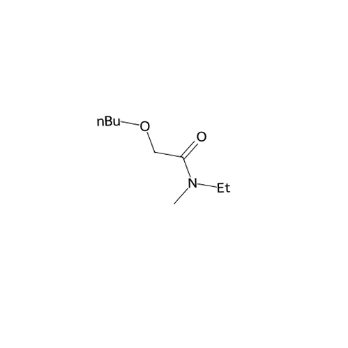 CCCCOCC(=O)N(C)CC